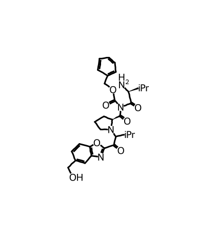 CC(C)C(C(=O)c1nc2cc(CO)ccc2o1)N1CCC[C@H]1C(=O)N(C(=O)OCc1ccccc1)C(=O)[C@@H](N)C(C)C